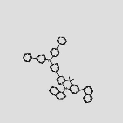 CC1(C)c2cc(-c3ccc(N(c4ccc(-c5ccccc5)cc4)c4ccc(-c5ccccc5)cc4)cc3)ccc2N(c2cccc3ccccc23)c2ccc(-c3cccc4ccccc34)cc21